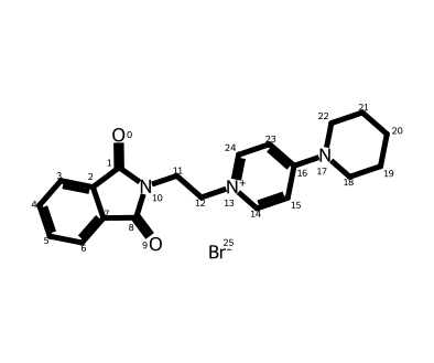 O=C1c2ccccc2C(=O)N1CC[n+]1ccc(N2CCCCC2)cc1.[Br-]